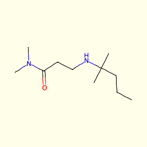 CCCC(C)(C)NCCC(=O)N(C)C